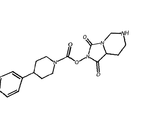 O=C(ON1C(=O)C2CCNCN2C1=O)N1CCC(c2ccccc2)CC1